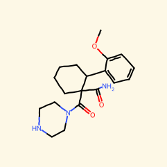 COc1ccccc1C1CCCCC1(C(N)=O)C(=O)N1CCNCC1